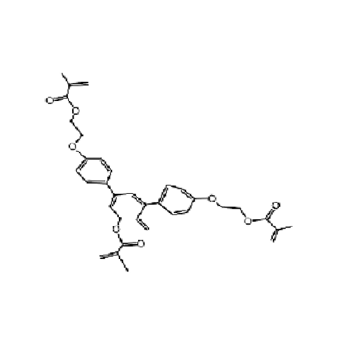 C=C/C(=C\C(=C/COC(=O)C(=C)C)c1ccc(OCCOC(=O)C(=C)C)cc1)c1ccc(OCCOC(=O)C(=C)C)cc1